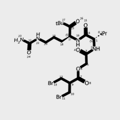 CC(C)[C@H](NC(=O)COC(=O)C(CBr)CBr)C(=O)N[C@@H](CCCNC(N)=O)C(=O)C(C)(C)C